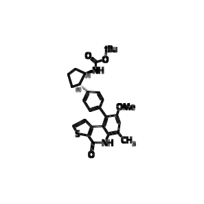 COc1cc(C)c2[nH]c(=O)c3sccc3c2c1-c1ccc([C@@H]2CCC[C@H]2NC(=O)OC(C)(C)C)cc1